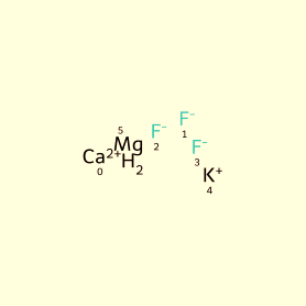 [Ca+2].[F-].[F-].[F-].[K+].[MgH2]